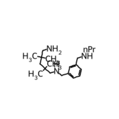 CCCNCc1cccc(CNCC(C)(C)CC(C)(C)CN)c1